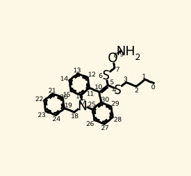 CCCCSC(SCON)=C1c2ccccc2N(Cc2ccccc2)c2ccccc21